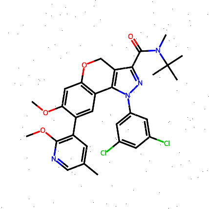 COc1cc2c(cc1-c1cc(C)cnc1OC)-c1c(c(C(=O)N(C)C(C)(C)C)nn1-c1cc(Cl)cc(Cl)c1)CO2